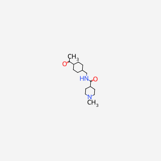 CC(=O)C1CCC(CNC(=O)C2CCN(C)CC2)CC1